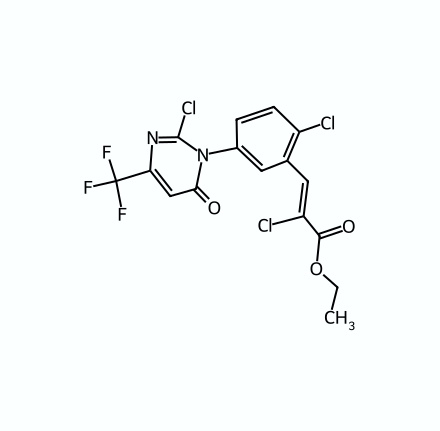 CCOC(=O)C(Cl)=Cc1cc(-n2c(Cl)nc(C(F)(F)F)cc2=O)ccc1Cl